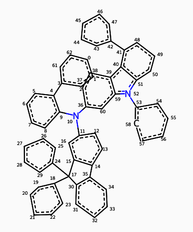 c1ccc(-c2ccccc2N(c2ccc3c(c2)C(c2ccccc2)(c2ccccc2)c2ccccc2-3)c2ccc3c4c(-c5ccccc5)cccc4n(-c4ccccc4)c3c2)cc1